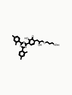 CCCCCCCCCCCCCOCC(O)CC1C=CC(c2nc(-c3ccc(C)cc3C)nc(-c3ccc(C)cc3C)n2)=C(O)C1=O